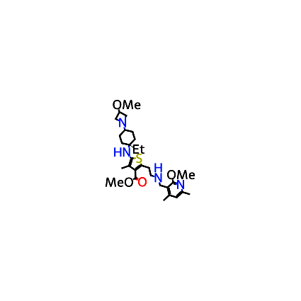 CC[C@]1(Nc2sc(CCNCc3c(C)cc(C)nc3OC)c(C(=O)OC)c2C)CC[C@@H](N2CC(OC)C2)CC1